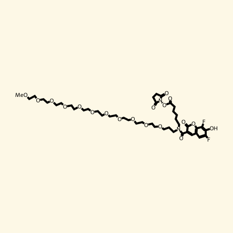 COCCOCCOCCOCCOCCOCCOCCOCCOCCOCCOCCCN(CCCCCC(=O)ON1C(=O)CCC1=O)C(=O)c1cc2cc(F)c(O)c(F)c2oc1=O